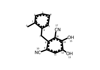 Cc1ccccc1Cc1c(C#N)cc(O)c(O)c1C#N